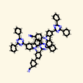 N#Cc1ccc(-c2ccc(-c3nc(-c4ccccc4)nc(-c4cc(C#N)ccc4-n4c5ccccc5c5cc(-c6nc(-c7ccccc7)nc(-c7ccccc7)n6)ccc54)n3)c(-n3c4ccccc4c4cc(-c5nc(-c6ccccc6)nc(-c6ccccc6)n5)ccc43)c2)cc1